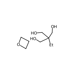 C1COC1.CCC(CO)(CO)CO